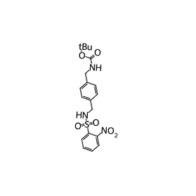 CC(C)(C)OC(=O)NCc1ccc(CNS(=O)(=O)c2ccccc2[N+](=O)[O-])cc1